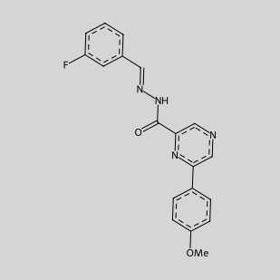 COc1ccc(-c2cncc(C(=O)NN=Cc3cccc(F)c3)n2)cc1